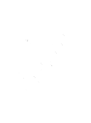 NC(=O)c1cc(-c2cc3sc(N4CCOCC4)nc3nc2[C@@H](Cc2cc(F)cc(F)c2)NC(=O)Cn2nc(C(F)F)c3c2C(F)(F)CCC3(F)F)ccc1F